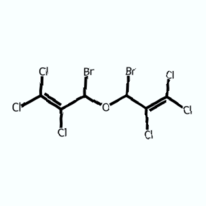 ClC(Cl)=C(Cl)C(Br)OC(Br)C(Cl)=C(Cl)Cl